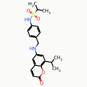 CC(C)c1cc(NCc2ccc(NS(=O)(=O)C(C)C)cc2)cc2ccc(=O)oc12